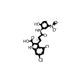 O=C(/C=C/c1c(C(=O)O)[nH]c2cc(Cl)cc(Cl)c12)Nc1cc([N+](=O)[O-])ccc1O